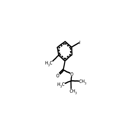 Cc1ccc(I)cc1C(=O)OC(C)(C)C